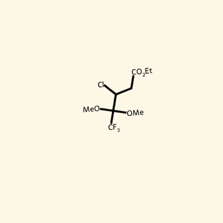 CCOC(=O)CC(Cl)C(OC)(OC)C(F)(F)F